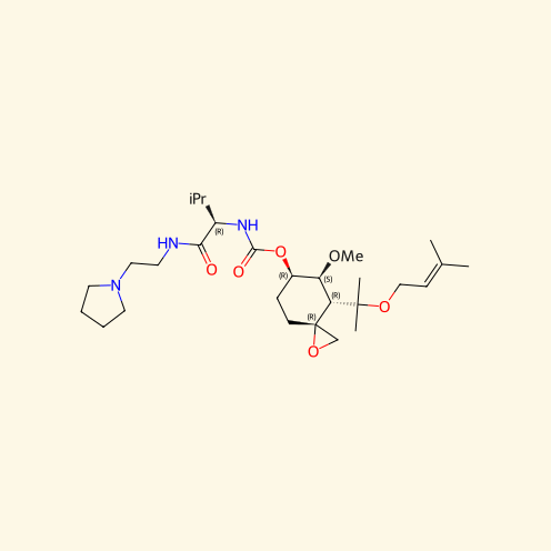 CO[C@H]1[C@H](C(C)(C)OCC=C(C)C)[C@]2(CC[C@H]1OC(=O)N[C@@H](C(=O)NCCN1CCCC1)C(C)C)CO2